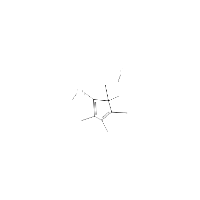 CC1=C(C)C(C)(C)[C]([Ti])=C1C.CCl.CCl